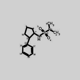 CN(C)S(=O)(=O)NC1CCCC1c1ccccc1